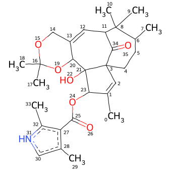 CC1=CC23CCC(C)C(C)(C)C(C=C4COC(C)(C)OC4C2(O)C1OC(=O)c1c(C)c[nH]c1C)C3=O